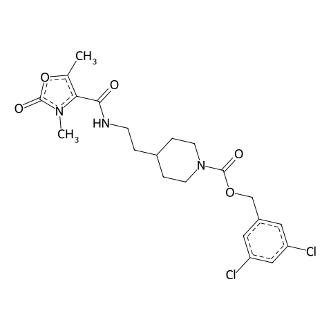 Cc1oc(=O)n(C)c1C(=O)NCCC1CCN(C(=O)OCc2cc(Cl)cc(Cl)c2)CC1